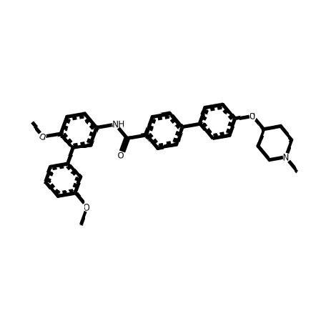 COc1cccc(-c2cc(NC(=O)c3ccc(-c4ccc(OC5CCN(C)CC5)cc4)cc3)ccc2OC)c1